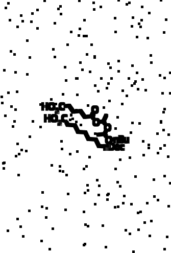 CCCCCCCCCCCCCCCCCC(=O)O.CCCCOC(C)OC(C)OC(=O)CCCCC(=O)O